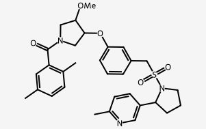 COC1CN(C(=O)c2cc(C)ccc2C)CC1Oc1cccc(CS(=O)(=O)N2CCCC2c2ccc(C)nc2)c1